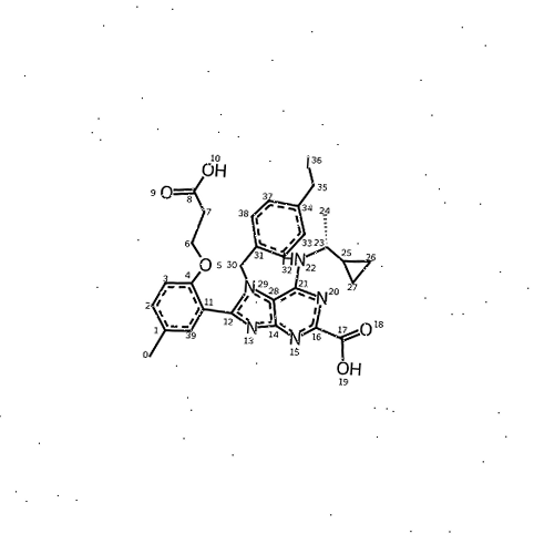 Cc1ccc(OCCC(=O)O)c(-c2nc3nc(C(=O)O)nc(N[C@H](C)C4CC4)c3n2Cc2ccc(CI)cc2)c1